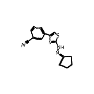 N#Cc1cccc(-c2csc(NN=C3CCCC3)n2)c1